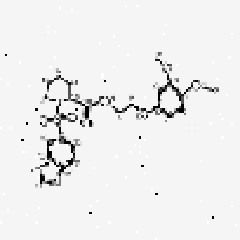 COc1ccc(OCCOC(=O)C2CCCCN2S(=O)(=O)c2ccc3ncsc3c2)cc1OC